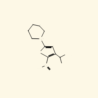 CC(C)c1cc(N2CCCCC2)sc1[N+](=O)[O-]